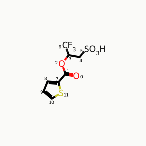 O=C(OC(CS(=O)(=O)O)C(F)(F)F)c1cccs1